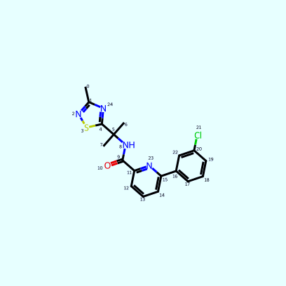 Cc1nsc(C(C)(C)NC(=O)c2cccc(-c3cccc(Cl)c3)n2)n1